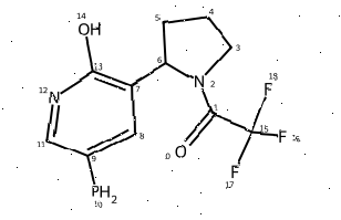 O=C(N1CCCC1c1cc(P)cnc1O)C(F)(F)F